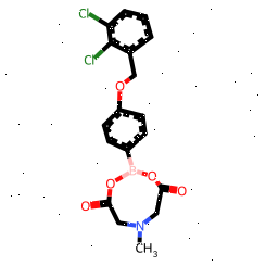 CN1CC(=O)OB(c2ccc(OCc3cccc(Cl)c3Cl)cc2)OC(=O)C1